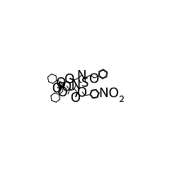 CC(OP(=O)(OC1CCCCC1)OC1CCCCC1)=C(C(=O)OCc1ccc([N+](=O)[O-])cc1)N1C(=O)C2N=C(COc3ccccc3)SC21